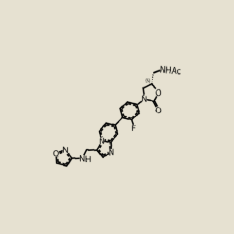 CC(=O)NC[C@H]1CN(c2ccc(-c3ccn4c(CNc5ccon5)cnc4c3)c(F)c2)C(=O)O1